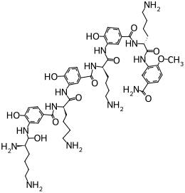 COc1ccc(C(N)=O)cc1NC(=O)[C@@H](CCCCN)NC(=O)c1ccc(O)c(NC(=O)[C@@H](CCCCN)NC(=O)c2ccc(O)c(NC(=O)[C@@H](CCCCN)NC(=O)c3ccc(O)c(NC(O)[C@H](N)CCCCN)c3)c2)c1